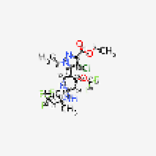 CCOC(=O)c1nn(CC)c(-c2cnc(NC(C)(C)CC(F)(F)F)cc2OC(F)F)c1Cl